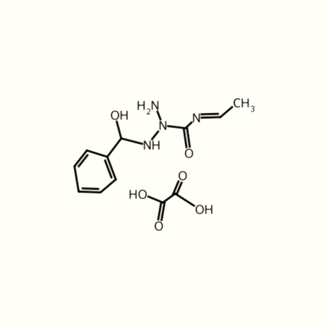 CC=NC(=O)N(N)NC(O)c1ccccc1.O=C(O)C(=O)O